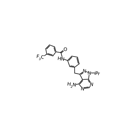 CC(C)n1nc(Cc2cccc(NC(=O)c3cccc(C(F)(F)F)c3)c2)c2c(N)ncnc21